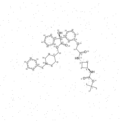 CC(C)(C)OC(=O)N[C@H]1C[C@H](NC(=O)COc2cccc([C@](O)(C(=O)OCC3CCN(Cc4ccccc4)CC3)c3ccccc3)c2)C1